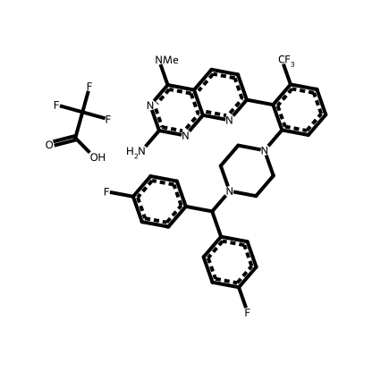 CNc1nc(N)nc2nc(-c3c(N4CCN(C(c5ccc(F)cc5)c5ccc(F)cc5)CC4)cccc3C(F)(F)F)ccc12.O=C(O)C(F)(F)F